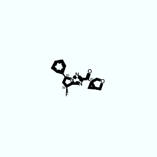 O=C(c1nc2n(n1)[C@H](c1ccccc1)C[C@@H]2F)[C@]12COCC1C2